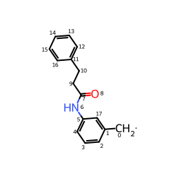 [CH2]c1cccc(NC(=O)CCc2ccccc2)c1